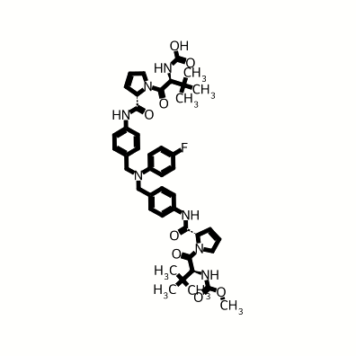 COC(=O)N[C@H](C(=O)N1CC=C[C@H]1C(=O)Nc1ccc(CN(Cc2ccc(NC(=O)[C@@H]3C=CCN3C(=O)[C@@H](NC(=O)O)C(C)(C)C)cc2)c2ccc(F)cc2)cc1)C(C)(C)C